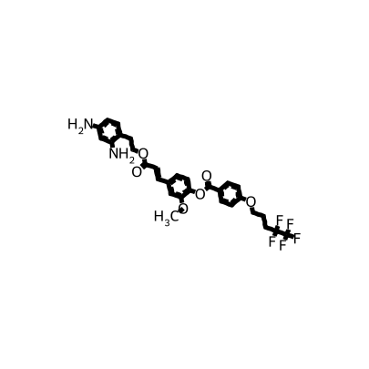 COc1cc(/C=C/C(=O)OCCc2ccc(N)cc2N)ccc1OC(=O)c1ccc(OCCCC(F)(F)C(F)(F)F)cc1